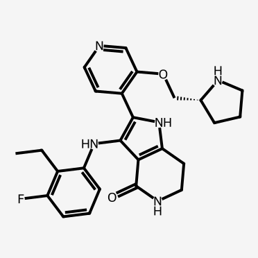 CCc1c(F)cccc1Nc1c(-c2ccncc2OC[C@H]2CCCN2)[nH]c2c1C(=O)NCC2